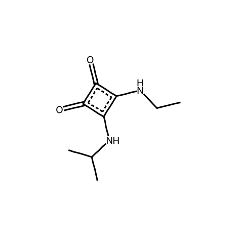 CCNc1c(NC(C)C)c(=O)c1=O